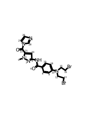 Cn1nc(NC(=O)c2ccc(N(CCBr)CCBr)cc2)cc1C(=O)n1ccnc1